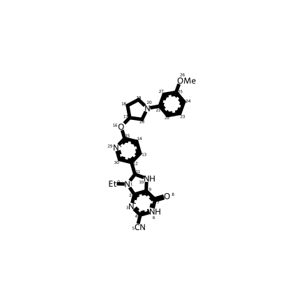 CCN1c2nc(C#N)[nH]c(=O)c2NC1c1ccc(OC2CCN(c3cccc(OC)c3)C2)nc1